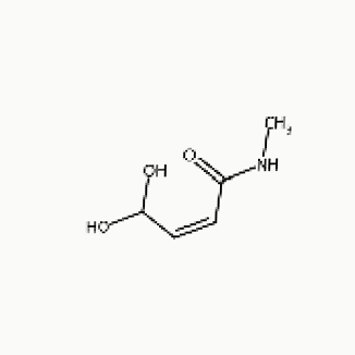 CNC(=O)/C=C\C(O)O